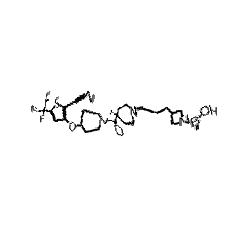 CB(O)N1CC(/C=C/CN2CCC(F)(C(=O)N3CCC(Oc4cc(C(F)(F)F)sc4C#N)CC3)CC2)C1